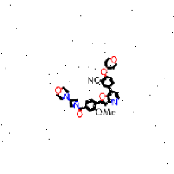 COc1cc(C(=O)N2CC(N3CCOCC3)C2)ccc1-c1cc2nccc(-c3ccc(OC4CCOCC4)c(C#N)c3)c2o1